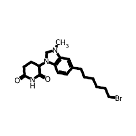 CN1CN(C2CCC(=O)NC2=O)c2ccc(CCCCCCBr)cc21